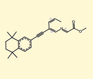 C\C=C/C(C#Cc1ccc2c(c1)C(C)(C)CCC2(C)C)=C\N=C\C(=O)OC